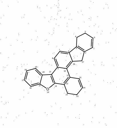 C1=CC2=C(CC1)c1ccc3c(c4c(c5oc6ccccc6c53)CCC=C4)c1C2